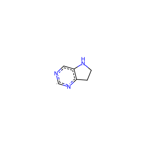 [c]1ncc2c(n1)CCN2